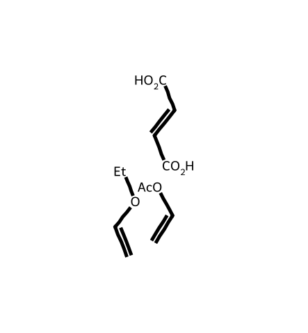 C=COC(C)=O.C=COCC.O=C(O)C=CC(=O)O